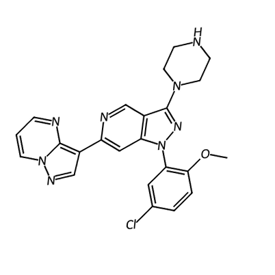 COc1ccc(Cl)cc1-n1nc(N2CCNCC2)c2cnc(-c3cnn4cccnc34)cc21